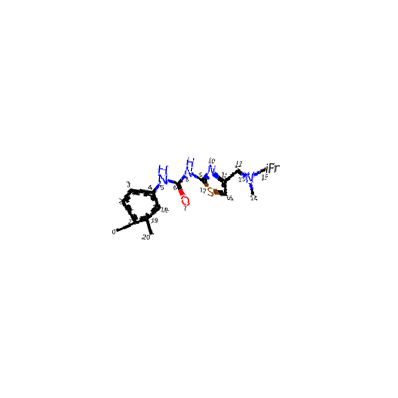 Cc1ccc(NC(=O)Nc2nc(CN(C)C(C)C)cs2)cc1C